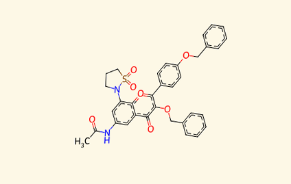 CC(=O)Nc1cc(N2CCCS2(=O)=O)c2oc(-c3ccc(OCc4ccccc4)cc3)c(OCc3ccccc3)c(=O)c2c1